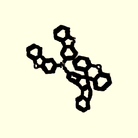 c1ccc2c(c1)Oc1ccccc1C21c2cc(N(c3ccc4oc5ccccc5c4c3)c3ccc4sc5ccccc5c4c3)ccc2-c2c1ccc1ccccc21